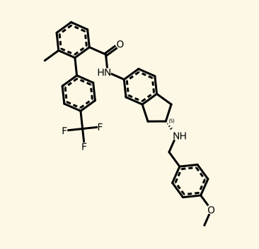 COc1ccc(CN[C@H]2Cc3ccc(NC(=O)c4cccc(C)c4-c4ccc(C(F)(F)F)cc4)cc3C2)cc1